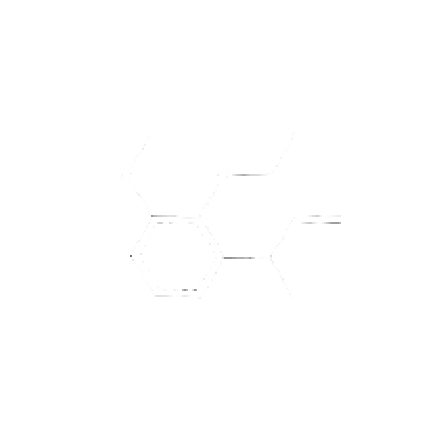 C=C[C](C)c1cccc(OC)c1OCC